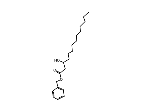 CCCCCCCCCCCC(O)CC(=O)OCc1ccccc1